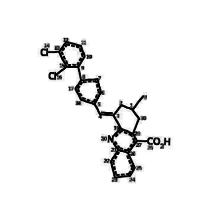 CC1C/C(=C\c2ccc(-c3cccc(Cl)c3Cl)cc2)c2nc3ccccc3c(C(=O)O)c2C1